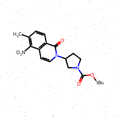 Cc1ccc2c(=O)n(C3CCN(C(=O)OC(C)(C)C)C3)ccc2c1[N+](=O)[O-]